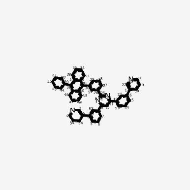 C1=NC=C(c2cccc(-c3cc(-c4cccc(-c5cccnc5)c4)nc(-c4cccc(-c5c6ccccc6c(-c6ccccc6)c6ccccc56)c4)n3)c2)CC1